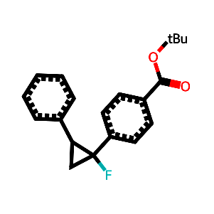 CC(C)(C)OC(=O)c1ccc(C2(F)CC2c2ccccc2)cc1